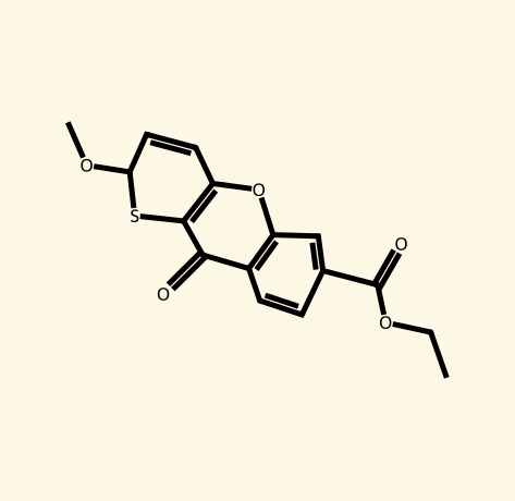 CCOC(=O)c1ccc2c(=O)c3c(oc2c1)C=CC(OC)S3